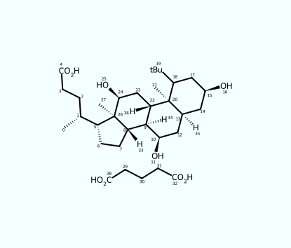 C[C@H](CCC(=O)O)[C@H]1CC[C@H]2[C@@H]3[C@H](O)C[C@@H]4C[C@H](O)CC(C(C)(C)C)[C@]4(C)[C@H]3C[C@H](O)[C@]12C.O=C(O)CCCC(=O)O